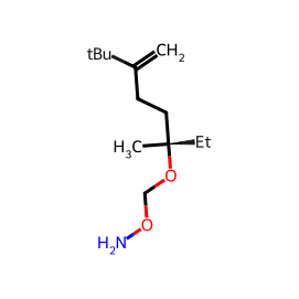 C=C(CC[C@](C)(CC)OCON)C(C)(C)C